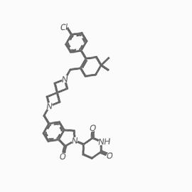 CC1(C)CCC(CN2CC3(C2)CN(Cc2ccc4c(c2)CN(C2CCC(=O)NC2=O)C4=O)C3)=C(c2ccc(Cl)cc2)C1